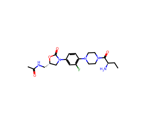 CC[C@@H](N)C(=O)N1CCN(c2ccc(N3C[C@H](CNC(C)=O)OC3=O)cc2F)CC1